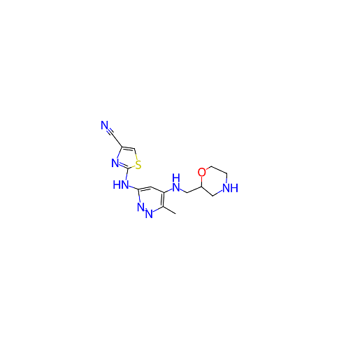 Cc1nnc(Nc2nc(C#N)cs2)cc1NCC1CNCCO1